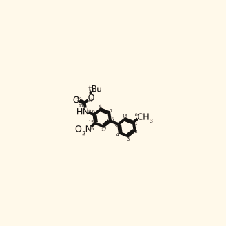 Cc1cccc(-c2ccc(NC(=O)OC(C)(C)C)c([N+](=O)[O-])c2)c1